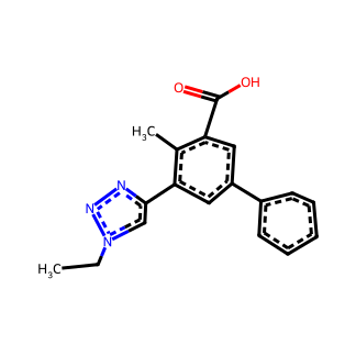 CCn1cc(-c2cc(-c3ccccc3)cc(C(=O)O)c2C)nn1